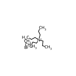 C=C.CCC[N+](CCC)(CCC)CCC.[Br-]